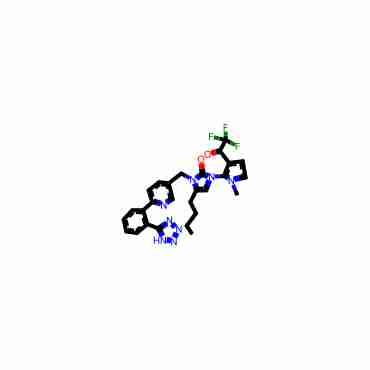 CCCCc1cn(-c2c(C(=O)C(F)(F)F)ccn2C)c(=O)n1Cc1ccc(-c2ccccc2-c2nnn[nH]2)nc1